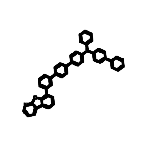 c1ccc(-c2ccc(N(c3ccccc3)c3ccc(-c4ccc(-c5cccc(-c6cccc7c6oc6ncccc67)c5)cc4)cc3)cc2)cc1